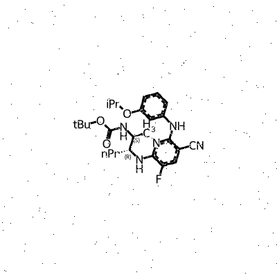 CCC[C@@H](Nc1nc(Nc2cccc(OC(C)C)c2)c(C#N)cc1F)[C@H](C)NC(=O)OC(C)(C)C